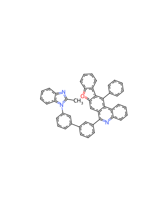 Cc1nc2ccccc2n1-c1cccc(-c2cccc(-c3nc4ccccc4c4c(-c5ccccc5)c5c(cc34)oc3ccccc35)c2)c1